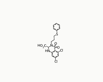 O=C(O)C1Nc2cc(Cl)cc(Cl)c2S(=O)(=O)N1CCCSc1ccccc1